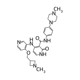 CN1CCN(c2ccc(NC(=O)c3c(Nc4cnccc4OCC4CN(C)C4)cc[nH]c3=O)cc2)CC1